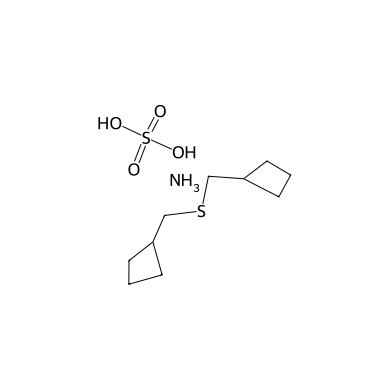 C1CC(CSCC2CCC2)C1.N.O=S(=O)(O)O